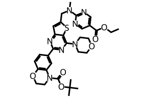 CCOC(=O)c1cnc(N(C)Cc2cc3nc(-c4ccc5c(c4)N(C(=O)OC(C)(C)C)CCO5)nc(N4CCOCC4)c3s2)nc1